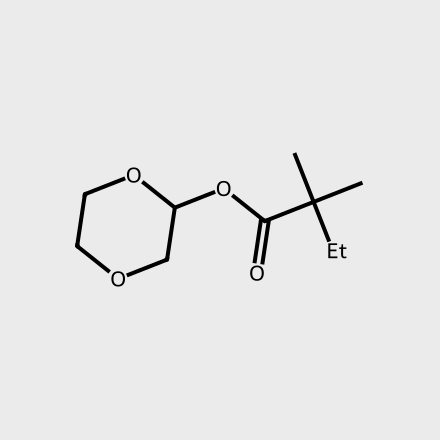 CCC(C)(C)C(=O)OC1COCCO1